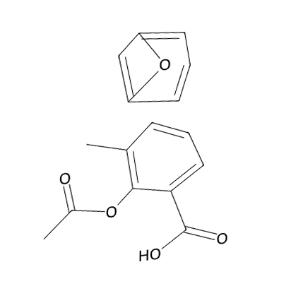 CC(=O)Oc1c(C)cccc1C(=O)O.c1cc2cc(c1)O2